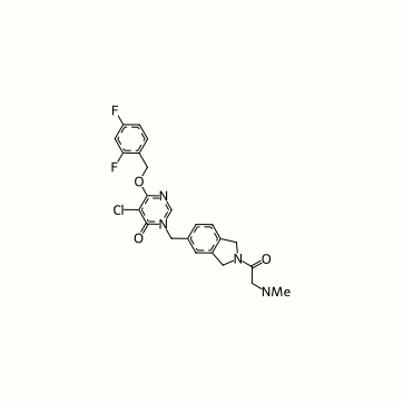 CNCC(=O)N1Cc2ccc(Cn3cnc(OCc4ccc(F)cc4F)c(Cl)c3=O)cc2C1